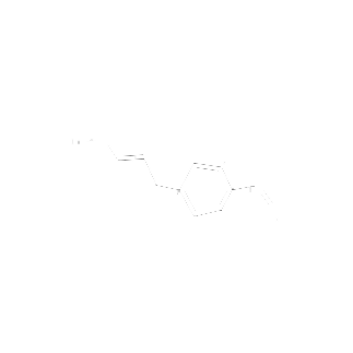 CCCCCCCC=CCc1ccc([PH2]=O)cc1